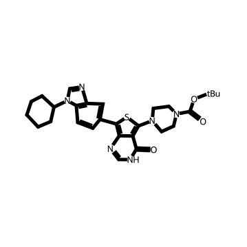 CC(C)(C)OC(=O)N1CCN(c2sc(-c3ccc4c(c3)ncn4C3CCCCC3)c3nc[nH]c(=O)c23)CC1